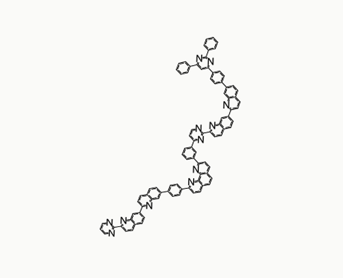 c1ccc(-c2cc(-c3ccc(-c4ccc5ccc(-c6ccc7ccc(-c8nccc(-c9cccc(-c%10ccc%11ccc%12ccc(-c%13ccc(-c%14ccc%15ccc(-c%16ccc%17ccc(-c%18ncccn%18)nc%17c%16)nc%15c%14)cc%13)nc%12c%11n%10)c9)n8)nc7c6)nc5c4)cc3)nc(-c3ccccc3)n2)cc1